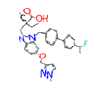 CCC(CC)(Cc1nc2ccc(OCc3ccn(C)n3)cc2n1Cc1ccc(-c2ccc(C(C)F)cc2)cc1)C(=O)O